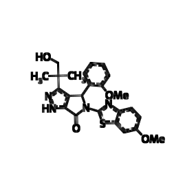 COc1ccc2nc(N3C(=O)c4[nH]nc(C(C)(C)CO)c4C3c3ccccc3OC)sc2c1